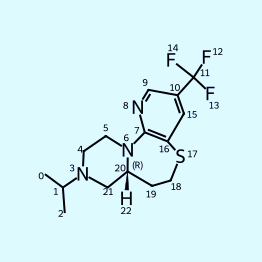 CC(C)N1CCN2c3ncc(C(F)(F)F)cc3SCC[C@@H]2C1